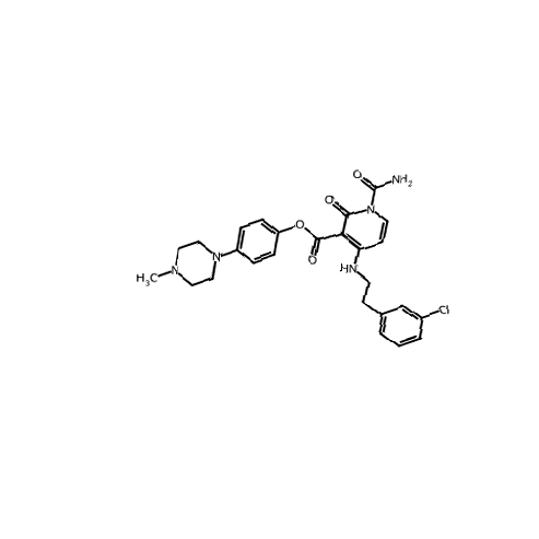 CN1CCN(c2ccc(OC(=O)c3c(NCCc4cccc(Cl)c4)ccn(C(N)=O)c3=O)cc2)CC1